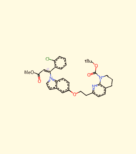 COC(=O)/C=C(/c1ccccc1Cl)n1ccc2cc(OCCc3ccc4c(n3)N(C(=O)OC(C)(C)C)CCC4)ccc21